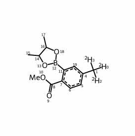 [2H]C([2H])([2H])c1ccc(C(=O)OC)c(B2OC(C)C(C)O2)c1